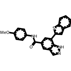 COc1ccc(NC(=O)c2cc(-c3cc4ccccc4s3)c3[nH]ncc3c2)cc1